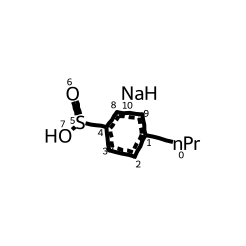 CCCc1ccc(S(=O)O)cc1.[NaH]